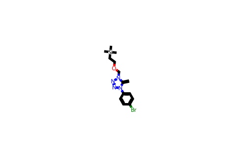 C=C1N(COCC[Si](C)(C)C)N=NN1c1ccc(Br)cc1